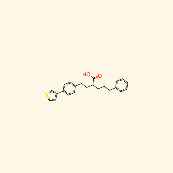 O=C(O)C(CCCc1ccccc1)CCc1ccc(-c2ccsc2)cc1